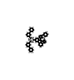 c1ccc(-c2cccc(-c3nc(-c4cccc(-c5ccccc5)c4)nc(-c4ccc5c(c4)-c4ccccc4C54c5ccccc5-n5c6ccccc6c6cccc4c65)n3)c2)cc1